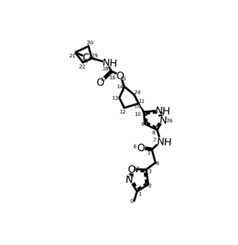 Cc1cc(CC(=O)Nc2cc([C@H]3CCC(OC(=O)NC45CC(C4)C5)C3)[nH]n2)on1